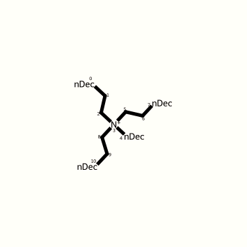 CCCCCCCCCCCC[N+](CCCCCCCCCC)(CCCCCCCCCCCC)CCCCCCCCCCCC